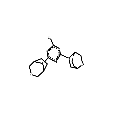 Clc1nc(N2CC3CCCC2CO3)nc(N2C3CCC2COC3)n1